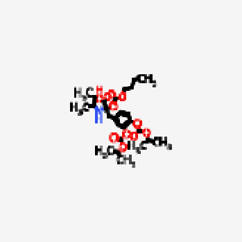 CCCCOC(=O)O[C@](Cc1ccc(OC(=O)OC(C)C)c(OC(=O)OC(C)C)c1)(NC(C)CC)C(=O)O